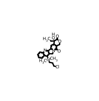 CC[C@@]1(O)C(=O)OCc2c1cc1n(c2=O)Cc2c-1nc1ccccc1c2[Si](C)(C)CCCCl